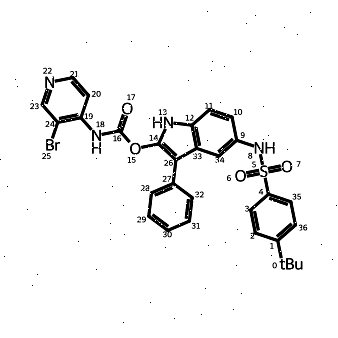 CC(C)(C)c1ccc(S(=O)(=O)Nc2ccc3[nH]c(OC(=O)Nc4ccncc4Br)c(-c4ccccc4)c3c2)cc1